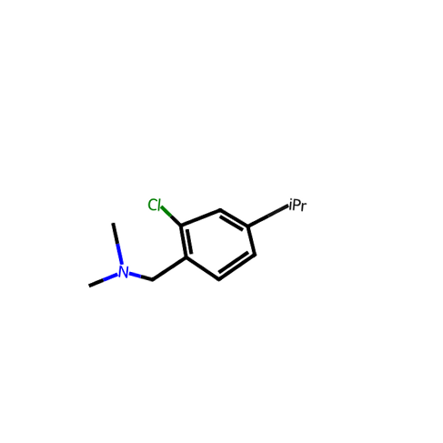 CC(C)c1ccc(CN(C)C)c(Cl)c1